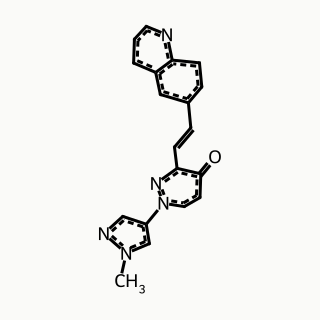 Cn1cc(-n2ccc(=O)c(C=Cc3ccc4ncccc4c3)n2)cn1